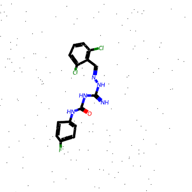 N=C(N/N=C/c1c(Cl)cccc1Cl)NC(=O)Nc1ccc(F)cc1